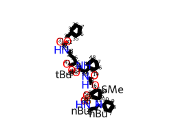 CCCCC1(CCCC)CN(c2ccccc2)c2cc(SC)c(OCC(=O)NC(C(=O)NC(CCCNC(=O)OCc3ccccc3)C(=O)OC(C)(C)C)c3ccccc3)cc2S(=O)(=O)N1